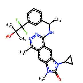 Cc1nnc(N[C@H](C)c2cccc(C(F)(F)C(C)(C)O)c2)c2cc3c(cc12)n(C)c(=O)n3C1CC1